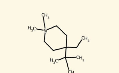 CCC1(C(C)(C)C)CC[Si](C)(C)CC1